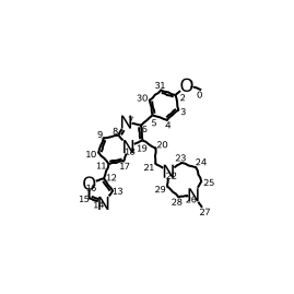 COc1ccc(-c2nc3ccc(-c4cnco4)cn3c2CCN2CCCN(C)CC2)cc1